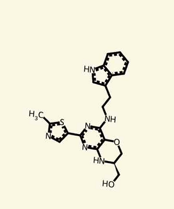 Cc1ncc(-c2nc(NCCc3c[nH]c4ccccc34)c3c(n2)N[C@H](CO)CO3)s1